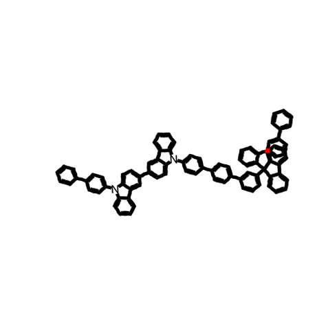 c1ccc(-c2ccc(-n3c4ccccc4c4cc(-c5ccc6c(c5)c5ccccc5n6-c5ccc(-c6ccc(-c7cccc(C8(c9ccccc9-c9cccc(-c%10ccccc%10)c9)c9ccccc9-c9ccccc98)c7)cc6)cc5)ccc43)cc2)cc1